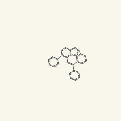 c1ccc(C(=Nc2c(-c3ccccc3)ccc3cncn23)c2ccccc2)cc1